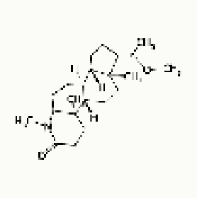 COC(C)[C@H]1CC[C@H]2[C@@H]3CCC4N(C)C(=O)CC[C@]4(C)[C@H]3CC[C@]12C